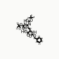 CC(C)(C)OC(=O)N=C(NCC(NC(=O)OCc1ccccc1)C(=O)O)NC(=O)OC(C)(C)C